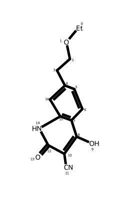 CCOCCc1ccc2c(O)c(C#N)c(=O)[nH]c2c1